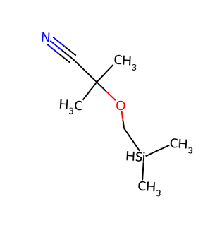 C[SiH](C)COC(C)(C)C#N